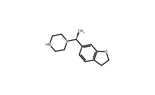 C[C@@H](c1ccc2c(c1)OCC2)N1CCNCC1